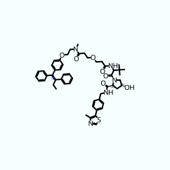 CC/C(=C(\c1ccccc1)c1ccc(OCCN(C)C(=O)CCOCCC(=O)NC(C(=O)N2C[C@H](O)C[C@H]2C(=O)NCc2ccc(-c3scnc3C)cc2)C(C)(C)C)cc1)c1ccccc1